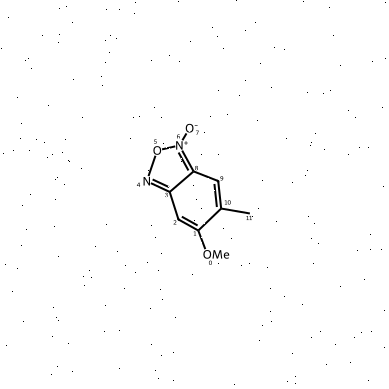 COc1cc2no[n+]([O-])c2cc1C